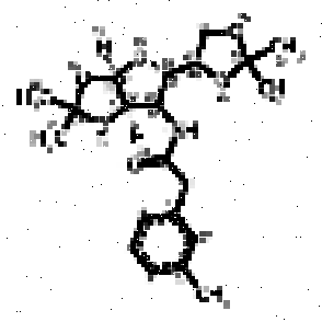 Cc1cccc(CC(=O)N[C@H]2[C@H]3OC(C)(C)O[C@H]3O[C@@H]2[C@H]2COC(C)(C)O2)c1